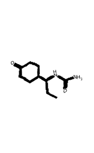 CCC(NC(N)=O)C1CCC(=O)CC1